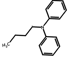 CCC[CH]N(c1ccccc1)c1ccccc1